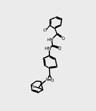 O=C(NC(=O)c1ccccc1Cl)Nc1ccc(C2ON2C2SC3C=CC2CC3)cc1